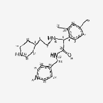 Cc1ccc(C(NCCC2CCNCC2)C(=O)NCc2ccncc2)c(C)c1